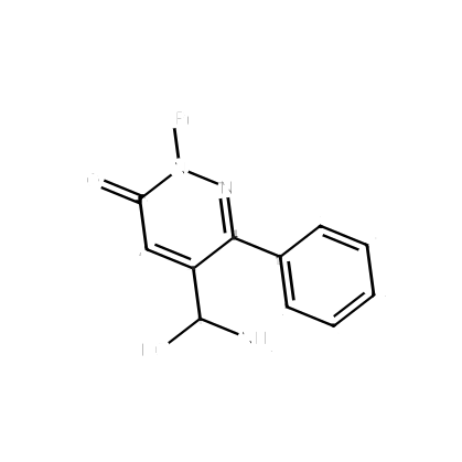 CC(N)c1cc(=O)n(C(C)C)nc1-c1ccccc1